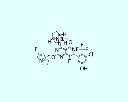 Oc1cc(Cl)c(C(F)(F)F)c(-c2nc3c4c(nc(OC[C@@]56CCCN5C[C@H](F)C6)nc4c2F)N2C[C@@H]4CC[C@@H](N4)[C@@H]2CO3)c1